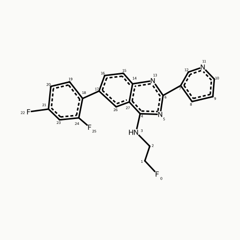 FCCNc1nc(-c2cccnc2)nc2ccc(-c3ccc(F)cc3F)cc12